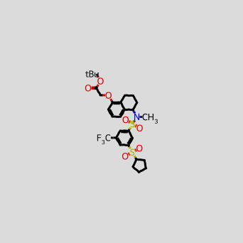 CN(C1CCCc2c(OCC(=O)OC(C)(C)C)cccc21)S(=O)(=O)c1cc(C(F)(F)F)cc(S(=O)(=O)C2CCCC2)c1